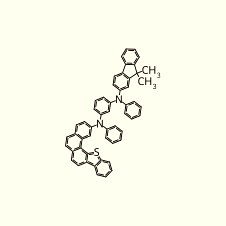 CC1(C)c2ccccc2-c2ccc(N(c3ccccc3)c3cccc(N(c4ccccc4)c4ccc5ccc6ccc7c8ccccc8sc7c6c5c4)c3)cc21